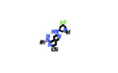 [2H]N1C[C@@H](Nc2cc3c(NC(C)C)nc(C#N)cc3cn2)CC(F)(F)C1